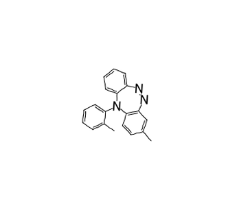 Cc1ccc2c(c1)N=Nc1ccccc1N2c1ccccc1C